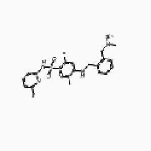 Cc1nc(S(=O)(=O)Nc2cccc(F)n2)c(F)cc1NCc1ccccc1CN(C)C(C)(C)C